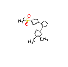 Cc1ccc(C2=C(c3ccc(S(C)(=O)=O)cc3)CCC2)cc1C